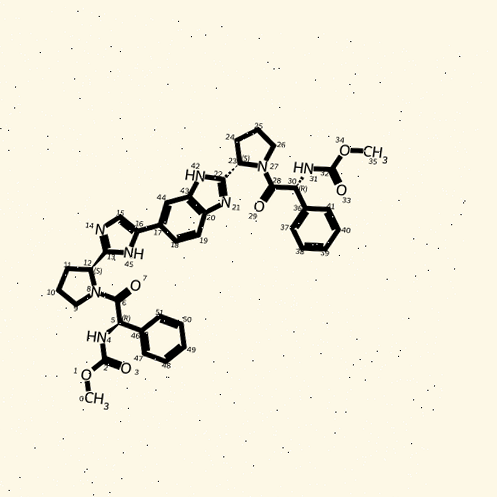 COC(=O)N[C@@H](C(=O)N1CCC[C@H]1c1ncc(-c2ccc3nc([C@@H]4CCCN4C(=O)[C@H](NC(=O)OC)c4ccccc4)[nH]c3c2)[nH]1)c1ccccc1